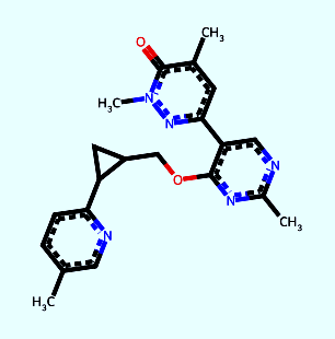 Cc1ccc(C2CC2COc2nc(C)ncc2-c2cc(C)c(=O)n(C)n2)nc1